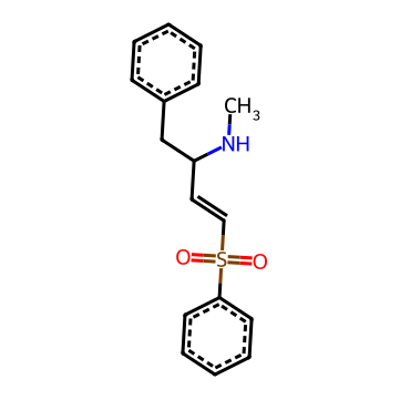 CNC(/C=C/S(=O)(=O)c1ccccc1)Cc1ccccc1